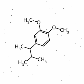 COc1ccc(C(C)C(C)C)cc1OC